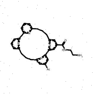 CC(=O)c1cc2nc(c1)-c1cc(C(=O)NCCN)cc(n1)CCCc1cccc(n1)-c1cccc(n1)CCC2